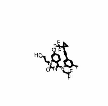 O=c1nc(N(CC(F)F)c2cc(F)cc(C#CC3(C(F)(F)F)CC3)c2)c2ccc(Cl)cc2n1CCO